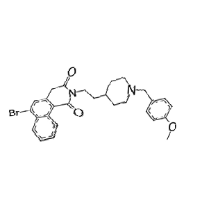 COc1ccc(CN2CCC(CCN3C(=O)Cc4cc(Br)c5ccccc5c4C3=O)CC2)cc1